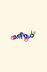 O=c1cc(-n2ccc3cc(N4CCOCC4)cnc32)ccn1Cc1ccc(F)c(I)c1